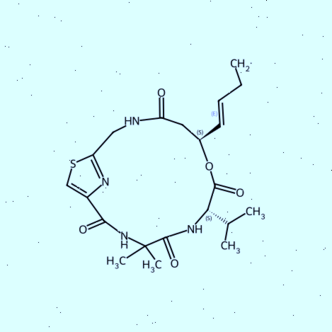 [CH2]C/C=C/[C@@H]1CC(=O)NCc2nc(cs2)C(=O)NC(C)(C)C(=O)N[C@@H](C(C)C)C(=O)O1